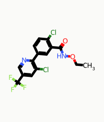 CCONC(=O)c1cc(-c2ncc(C(F)(F)F)cc2Cl)ccc1Cl